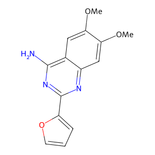 COc1cc2nc(-c3ccco3)nc(N)c2cc1OC